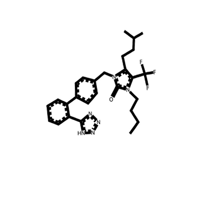 CCCCn1c(C(F)(F)F)c(CCC(C)C)n(Cc2ccc(-c3ccccc3-c3nnn[nH]3)cc2)c1=O